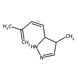 C=C(C)/C=C\C1NN=CC1C